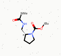 CNC(=O)NC[C@H]1CCCN1C(=O)OC(C)(C)C